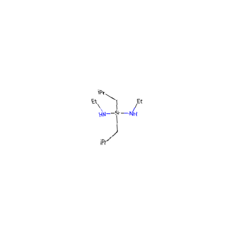 CCN[Si](CC(C)C)(CC(C)C)NCC